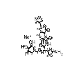 Nc1nc(/C(=N/OCc2cc(O)c(O)c(F)c2)C(=O)NC2C(=O)N3C(C(=O)[O-])=C(CSc4cnns4)CS[C@@H]23)cs1.[Na+]